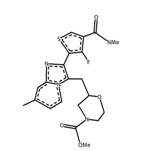 CNC(=O)c1csc(-c2nc3cc(C)ccn3c2CC2CN(C(=O)OC)CCO2)c1F